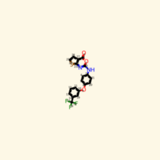 O=c1oc(Nc2ccc(Oc3cccc(C(F)(F)F)c3)cc2)nc2sccc12